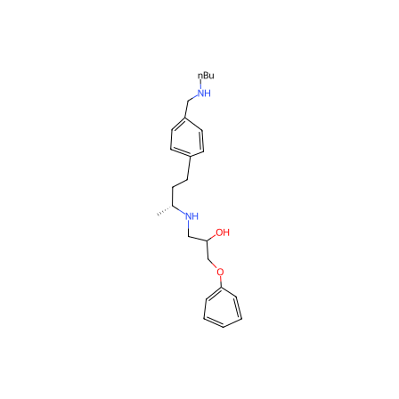 CCCCNCc1ccc(CC[C@@H](C)NCC(O)COc2ccccc2)cc1